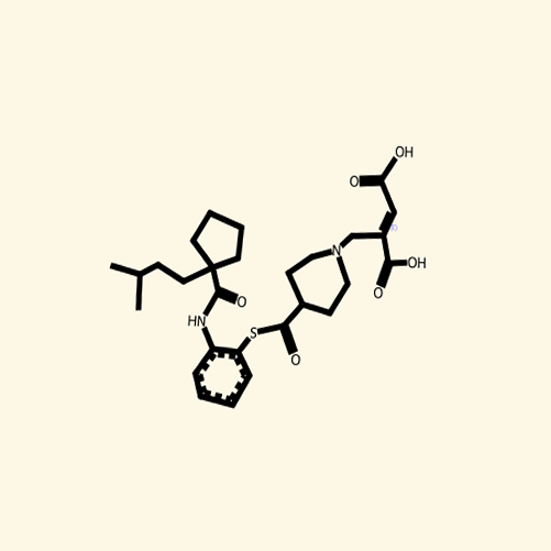 CC(C)CCC1(C(=O)Nc2ccccc2SC(=O)C2CCN(C/C(=C\C(=O)O)C(=O)O)CC2)CCCC1